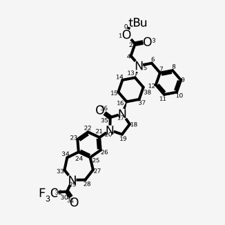 CC(C)(C)OC(=O)CN(Cc1ccccc1)[C@H]1CC[C@H](N2CCN(c3ccc4c(c3)CCN(C(=O)C(F)(F)F)CC4)C2=O)CC1